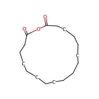 O=C1CCCCCCCCCCCCCCCC(=O)O1